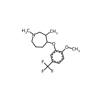 COc1ccc(C(F)(F)F)cc1OC1CCCN(C)CC1C